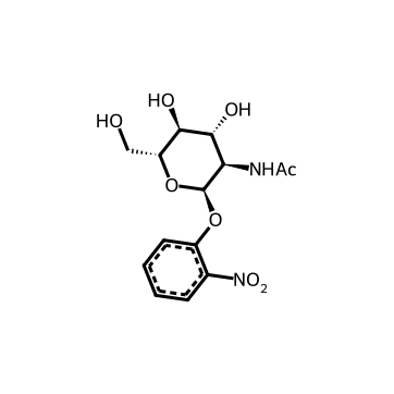 CC(=O)N[C@H]1[C@@H](Oc2ccccc2[N+](=O)[O-])O[C@H](CO)[C@@H](O)[C@@H]1O